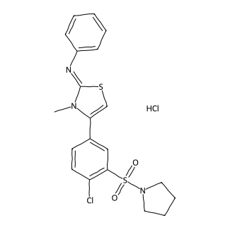 Cl.Cn1c(-c2ccc(Cl)c(S(=O)(=O)N3CCCC3)c2)csc1=Nc1ccccc1